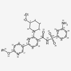 CCOC1CCCN(c2nc(-c3ccc(OC(C)C)nc3)ccc2C(=O)NS(=O)(=O)c2cccc(N)n2)C1